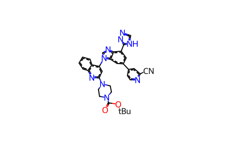 CC(C)(C)OC(=O)N1CCN(c2cc(-n3cnc4c(-c5nnc[nH]5)cc(-c5ccnc(C#N)c5)cc43)c3ccccc3n2)CC1